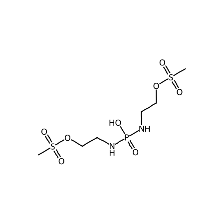 CS(=O)(=O)OCCNP(=O)(O)NCCOS(C)(=O)=O